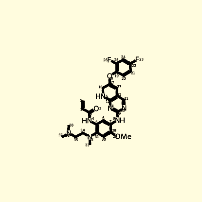 C=CC(=O)Nc1cc(Nc2ncc3c(n2)NCC(Oc2ccc(F)cc2F)=C3)c(OC)cc1N(C)CCN(C)C